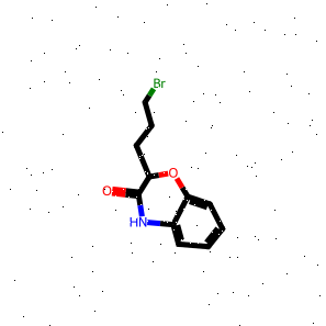 O=C1Nc2ccccc2OC1CCCBr